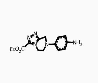 CCOC(=O)c1nnc2n1CCN(c1ccc(N)cc1)C2